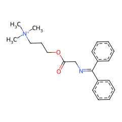 C[N+](C)(C)CCCOC(=O)CN=C(c1ccccc1)c1ccccc1